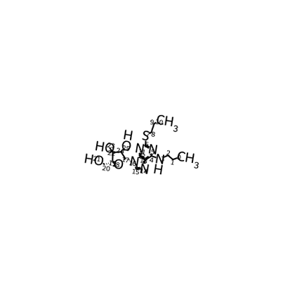 CCCNc1nc(SCCC)nc2c1ncn2[C@@H]1O[C@H](CO)C(O)C1O